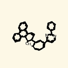 CC1c2c(c3ccccc3c3ccccc23)C=CC1C1=CC(c2ccnc(-c3ccccc3)n2)=CC=CC1